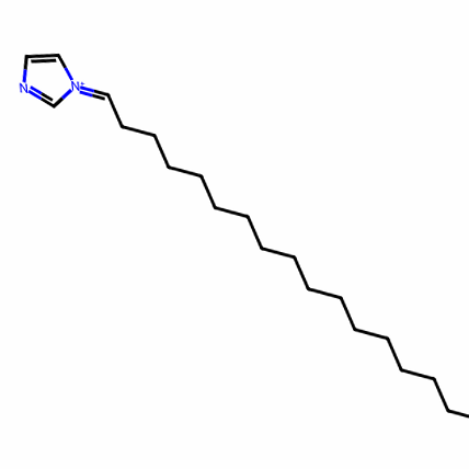 CC(C)CCCCCCCCCCCCCCCCC=[N+]1C=CN=C1